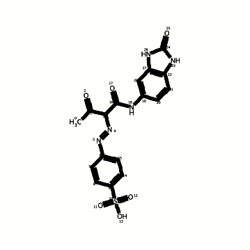 CC(=O)C(/N=N/c1ccc(S(=O)(=O)O)cc1)C(=O)Nc1ccc2[nH]c(=O)[nH]c2c1